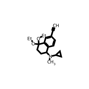 C#Cc1ccc2c(c1)C(OCC)(OCC)CCC2N(C)C1CC1